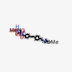 CNC(=O)C(C)(C(=O)NO)N(C)C(=O)c1ccc(C#Cc2ccc(CCN3CC(OC)C3)cc2)cc1